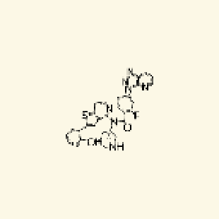 O=C(c1ccc(-n2nnc3cccnc32)cc1F)N(c1nccc2sc(-c3ccccc3O)cc12)[C@@H]1CCCNC1